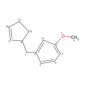 COc1cccc(CC2C=CCC2)c1